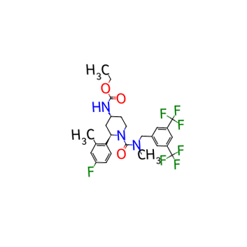 CCOC(=O)N[C@H]1CCN(C(=O)N(C)Cc2cc(C(F)(F)F)cc(C(F)(F)F)c2)[C@@H](c2ccc(F)cc2C)C1